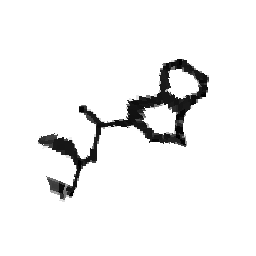 NC(=O)OC(=O)c1cnc2ccccc2c1